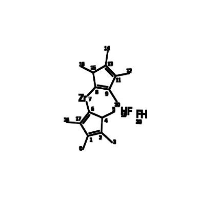 CC1=C(C)C(C)[C]([Zr][C]2=C(C)C(C)=C(C)C2C)=C1C.F.F